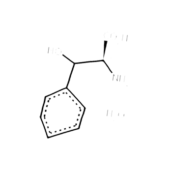 N[C@H](C(=O)O)C(O)c1ccccc1.O